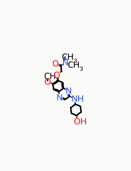 COc1cc2ncc(NC3CCC(O)CC3)nc2cc1OCC(=O)N(C)C